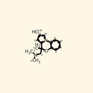 CN(C)CC1(C)Oc2ccccc2-n2cccc21.Cl